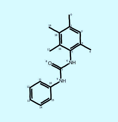 Cc1cc(C)c(NC(=O)Nc2ccccc2)c(C)c1C